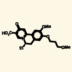 CC[C@@H]1Cc2cc(OCCCOC)c(OC)cc2-c2cc(=O)c(C(=O)O)cn21